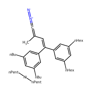 CCCCCCc1cc(CCCCCC)cc(C(=CC(C)=C=[N+]=[N-])c2cc(CCCC)cc(CCCC)c2)c1.CCCC[CH2][Ni][CH2]CCCC